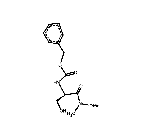 CON(C)C(=O)[C@@H](CO)NC(=O)OCc1ccccc1